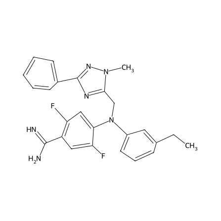 CCc1cccc(N(Cc2nc(-c3ccccc3)nn2C)c2cc(F)c(C(=N)N)cc2F)c1